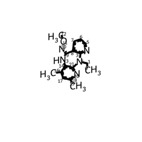 CCN1c2ncccc2/C(=N\OC)Nc2c(C)cc(C)nc21